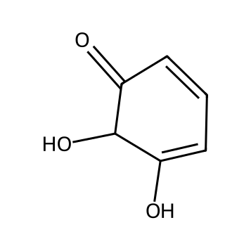 O=C1C=CC=C(O)C1O